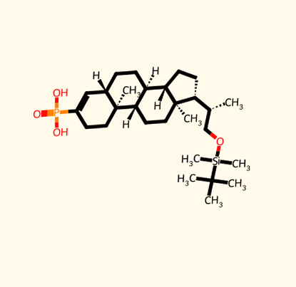 C[C@H](CO[Si](C)(C)C(C)(C)C)[C@H]1CC[C@H]2[C@@H]3CC[C@H]4C=C(P(=O)(O)O)CC[C@]4(C)[C@H]3CC[C@]12C